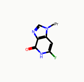 CC(C)n1cnc2c(=O)[nH]c(F)cc21